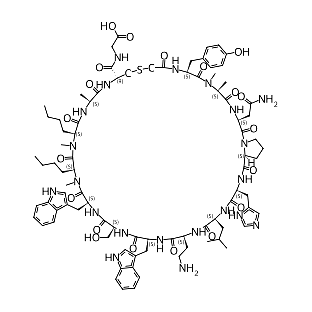 CCCC[C@H]1C(=O)N(C)[C@@H](CCCC)C(=O)N[C@@H](C)C(=O)N[C@H](C(=O)NCC(=O)O)CSCC(=O)N[C@@H](Cc2ccc(O)cc2)C(=O)N(C)[C@@H](C)C(=O)N[C@@H](CC(N)=O)C(=O)N2CCC[C@H]2C(=O)N[C@@H](Cc2cnc[nH]2)C(=O)N[C@@H](CC(C)C)C(=O)N[C@@H](CCN)C(=O)N[C@@H](Cc2c[nH]c3ccccc23)C(=O)N[C@@H](CO)C(=O)N[C@@H](Cc2c[nH]c3ccccc23)C(=O)N1C